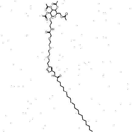 CCCCCCCCCCCCCCCCCCCCC(=O)NCc1cn(CCOCCOCCOCC(=O)NCCS[C@@H]2OC(COC(C)=O)C(OC(C)=O)C(OC(C)=O)C2OC(C)=O)nn1